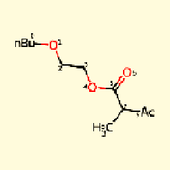 CCCCOCCOC(=O)C(C)C(C)=O